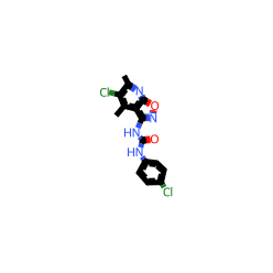 Cc1nc2onc(NC(=O)Nc3ccc(Cl)cc3)c2c(C)c1Cl